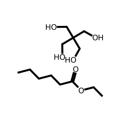 CCCCCC(=O)OCC.OCC(CO)(CO)CO